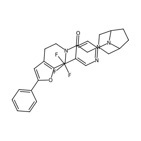 O=C(CN1CC2CCC(C1)N2c1ccc(C(F)(F)F)cn1)N1CCc2cc(-c3ccccc3)oc2C1